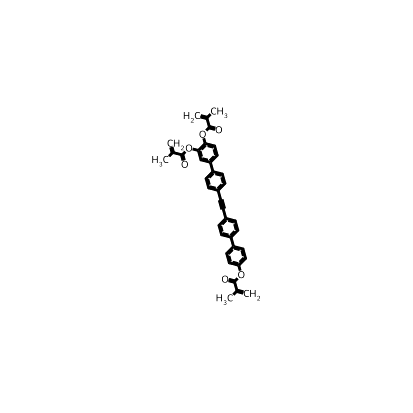 C=C(C)C(=O)Oc1ccc(-c2ccc(C#Cc3ccc(-c4ccc(OC(=O)C(=C)C)c(OC(=O)C(=C)C)c4)cc3)cc2)cc1